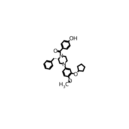 COc1ccc(N2CCN(C(=O)c3ccc(O)cc3)[C@@H](Cc3ccccc3)C2)cc1OC1CCCC1